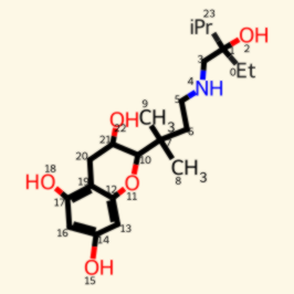 CCC(O)(CNCCC(C)(C)C1Oc2cc(O)cc(O)c2CC1O)C(C)C